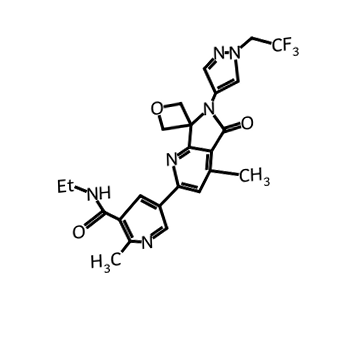 CCNC(=O)c1cc(-c2cc(C)c3c(n2)C2(COC2)N(c2cnn(CC(F)(F)F)c2)C3=O)cnc1C